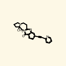 CC12CCCN1CCc1nc3cc(C#Cc4ccccn4)ccc3c(=O)n1C2